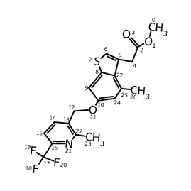 COC(=O)Cc1csc2cc(OCc3ccc(C(F)(F)F)nc3C)cc(C)c12